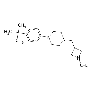 CN1CC(CN2CCN(c3ccc(C(C)(C)C)cc3)CC2)C1